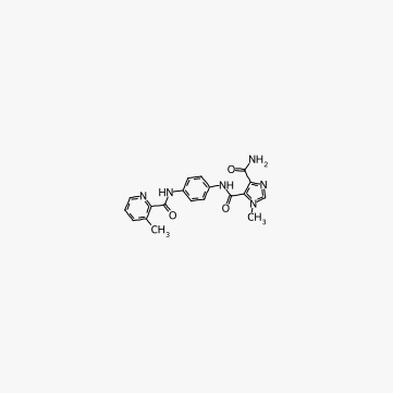 Cc1cccnc1C(=O)Nc1ccc(NC(=O)c2c(C(N)=O)ncn2C)cc1